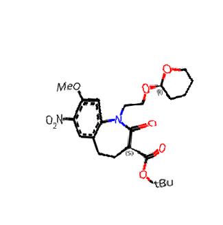 COc1cc2c(cc1[N+](=O)[O-])CC[C@H](C(=O)OC(C)(C)C)C(=O)N2CCO[C@@H]1CCCCO1